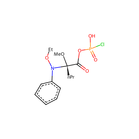 CCC[C@@](OC)(C(=O)OP(=O)(O)Cl)N(OCC)c1ccccc1